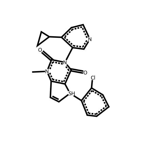 Cn1c2c(c(=O)n(-c3cnccc3C3CC3)c1=O)[SH](c1ccccc1Cl)C=C2